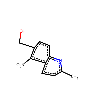 Cc1ccc2c([N+](=O)[O-])c(CO)ccc2n1